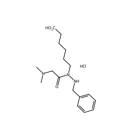 CN(C)CC(=O)N(CCCCCC(=O)O)NCc1ccccc1.Cl